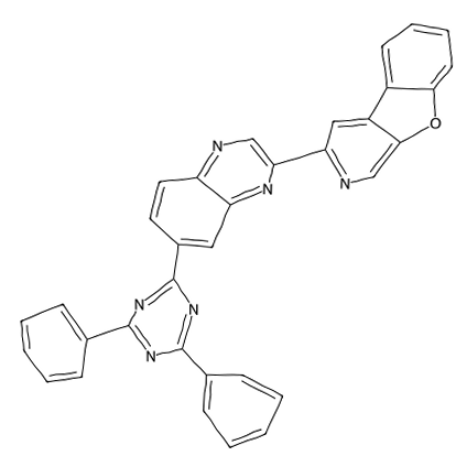 c1ccc(-c2nc(-c3ccccc3)nc(-c3ccc4ncc(-c5cc6c(cn5)oc5ccccc56)nc4c3)n2)cc1